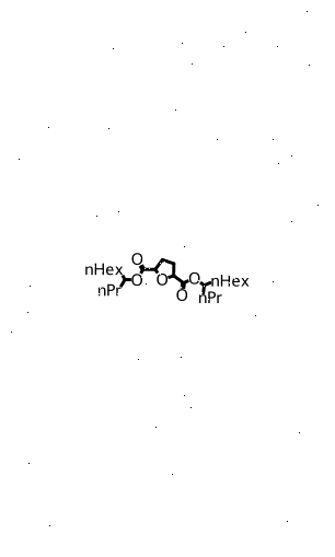 CCCCCCC(CCC)OC(=O)C1CCC(C(=O)OC(CCC)CCCCCC)O1